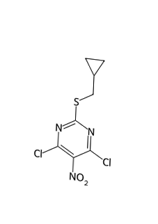 O=[N+]([O-])c1c(Cl)nc(SCC2CC2)nc1Cl